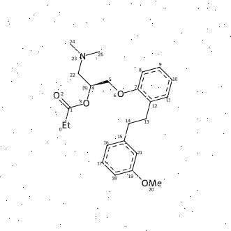 CCC(=O)O[C@H](COc1ccccc1CCc1cccc(OC)c1)CN(C)C